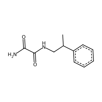 CC(CNC(=O)C(N)=O)c1ccccc1